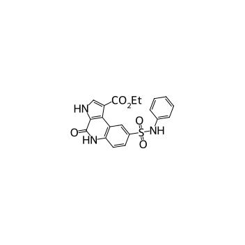 CCOC(=O)c1c[nH]c2c(=O)[nH]c3ccc(S(=O)(=O)Nc4ccccc4)cc3c12